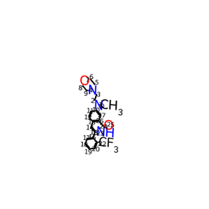 CN(CCN1CCOCC1)c1ccc2cc(-c3ccccc3C(F)(F)F)[nH]c(=O)c2c1